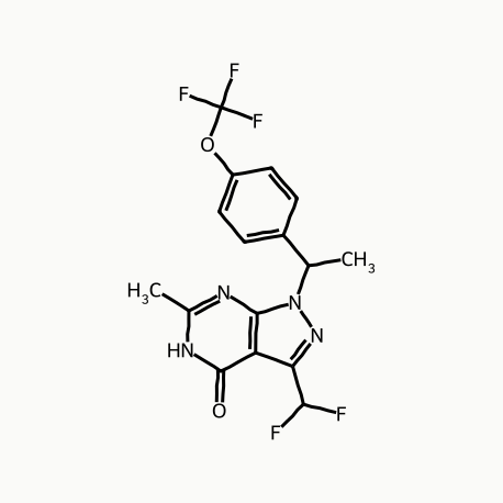 Cc1nc2c(c(C(F)F)nn2C(C)c2ccc(OC(F)(F)F)cc2)c(=O)[nH]1